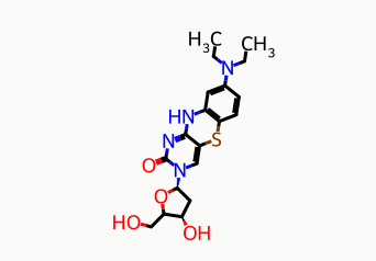 CCN(CC)c1ccc2c(c1)Nc1nc(=O)n([C@H]3C[C@@H](O)C(CO)O3)cc1S2